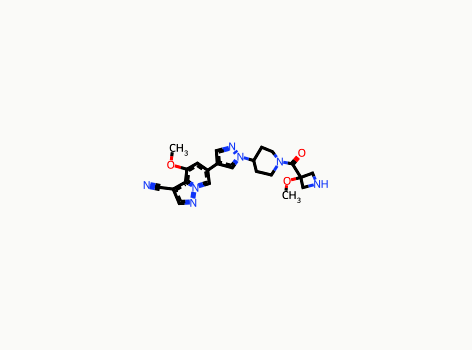 COc1cc(-c2cnn(C3CCN(C(=O)C4(OC)CNC4)CC3)c2)cn2ncc(C#N)c12